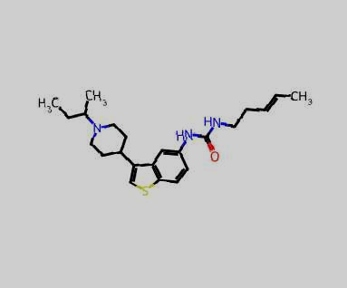 CC=CCCNC(=O)Nc1ccc2scc(C3CCN(C(C)CC)CC3)c2c1